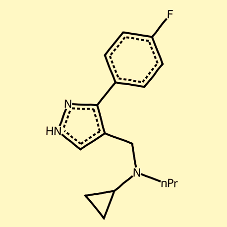 CCCN(Cc1c[nH]nc1-c1ccc(F)cc1)C1CC1